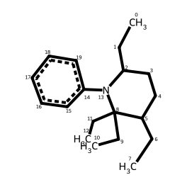 CCC1CCC(CC)C(CC)(CC)N1c1ccccc1